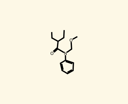 CCC(CC)C(=O)N(COC)c1ccccc1